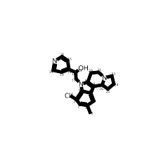 Cc1cc(Cl)c2c(c1)c1c(n2CC(O)c2ccncc2)CCN2CCCC12